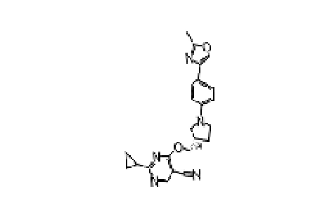 Cc1nc(-c2ccc(N3CC[C@H](COc4nc(C5CC5)ncc4C#N)C3)cc2)co1